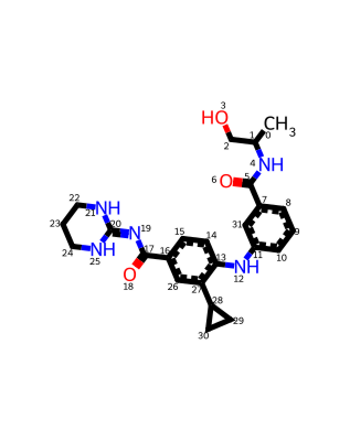 CC(CO)NC(=O)c1cccc(Nc2ccc(C(=O)N=C3NCCCN3)cc2C2CC2)c1